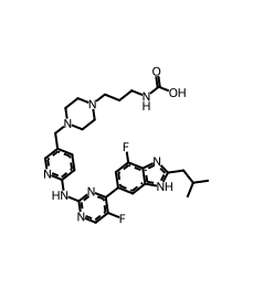 CC(C)Cc1nc2c(F)cc(-c3nc(Nc4ccc(CN5CCN(CCCNC(=O)O)CC5)cn4)ncc3F)cc2[nH]1